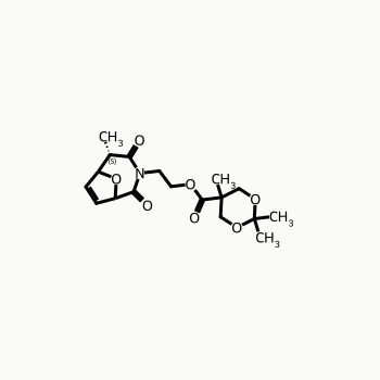 C[C@@H]1C(=O)N(CCOC(=O)C2(C)COC(C)(C)OC2)C(=O)C2C=CC1O2